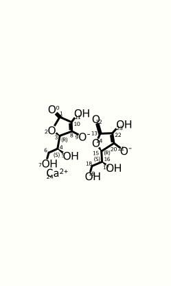 O=C1O[C@H]([C@@H](O)CO)C([O-])=C1O.O=C1O[C@H]([C@@H](O)CO)C([O-])=C1O.[Ca+2]